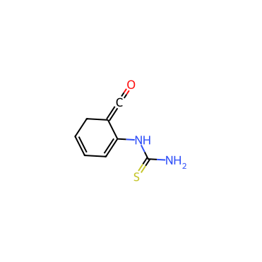 NC(=S)NC1=CC=CCC1=C=O